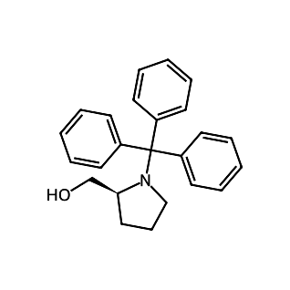 OC[C@@H]1CCCN1C(c1ccccc1)(c1ccccc1)c1ccccc1